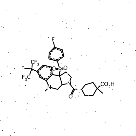 CN1CC2N(C(=O)[C@H]3CC[C@](C)(C(=O)O)CC3)CCC2(S(=O)(=O)c2ccc(F)cc2)c2ccc(C(F)(C(F)(F)F)C(F)(F)F)cc21